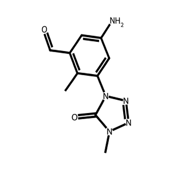 Cc1c(C=O)cc(N)cc1-n1nnn(C)c1=O